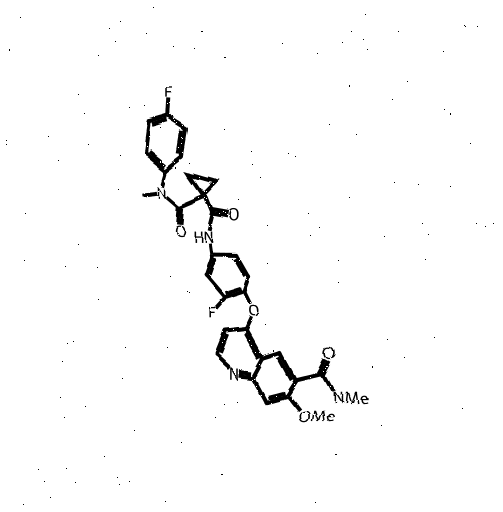 CNC(=O)c1cc2c(Oc3ccc(NC(=O)C4(C(=O)N(C)c5ccc(F)cc5)CC4)cc3F)ccnc2cc1OC